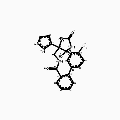 CC1(O)NC(=O)NC1(CNC(=O)c1ccccc1-c1ccc(C(F)(F)F)cc1)c1ccn[nH]1